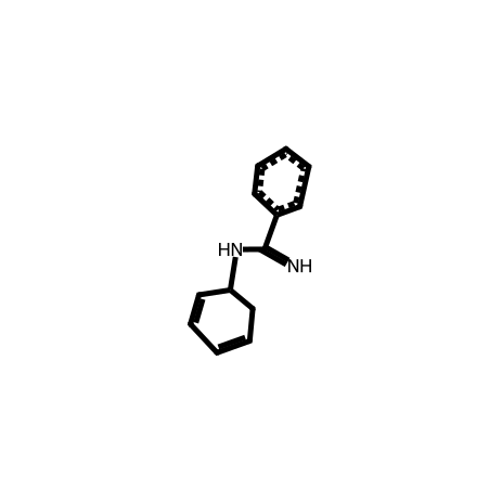 N=C(NC1C=CC=CC1)c1ccccc1